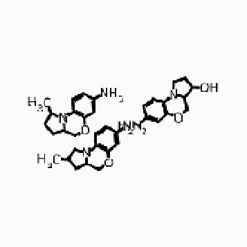 CC1CC2COc3cc(N)ccc3N2C1.CC1CCC2COc3cc(N)ccc3N12.Nc1ccc2c(c1)OCC1C(O)CCN21